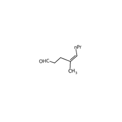 CCCC=C(C)CCC=O